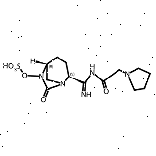 N=C(NC(=O)CN1CCCC1)[C@@H]1CC[C@@H]2CN1C(=O)N2OS(=O)(=O)O